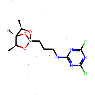 C[C@@H]1O[Si]2(CCCNc3nc(Cl)nc(Cl)n3)O[C@@H]1[C@@H](C)O2